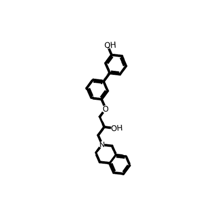 Oc1cccc(-c2cccc(OCC(O)CN3CCc4ccccc4C3)c2)c1